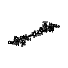 COC(=O)N[C@H](C(=O)N1C[Si](C)(C)C[C@H]1c1ncc(C#Cc2ccc(-c3ccc4[nH]c([C@@H]5C[Si](C)(C)CN5C(=O)[C@@H](NC(=O)OC)C(C)C)nc4c3)cc2)[nH]1)C(C)C